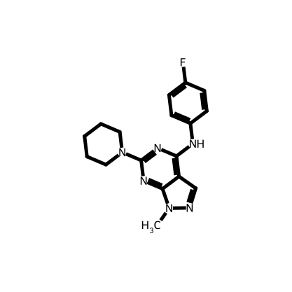 Cn1ncc2c(Nc3ccc(F)cc3)nc(N3CCCCC3)nc21